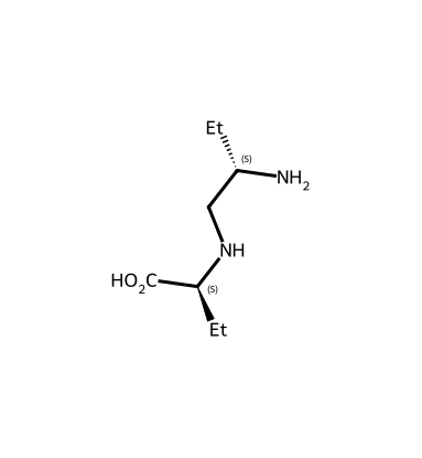 CC[C@H](N)CN[C@@H](CC)C(=O)O